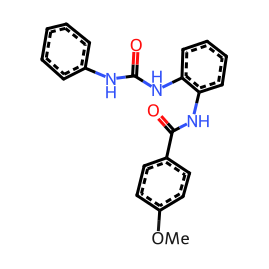 COc1ccc(C(=O)Nc2ccccc2NC(=O)Nc2ccccc2)cc1